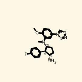 COc1ccc(-n2cnnn2)cc1N(C)[C@H]1CC[C@H](N)[C@H]1c1ccc(F)cc1